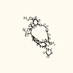 CCC1c2cc3nc(N4CCCC4)cc(n3n2)N(C)CCOCCOc2ccc(C)cc2C(=O)N1C